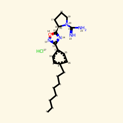 CCCCCCCCc1ccc(-c2noc([C@H]3CCCN3C(=N)N)n2)cc1.Cl